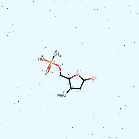 CO[C@@H]1CC(O)OC1COP(C)(=O)O